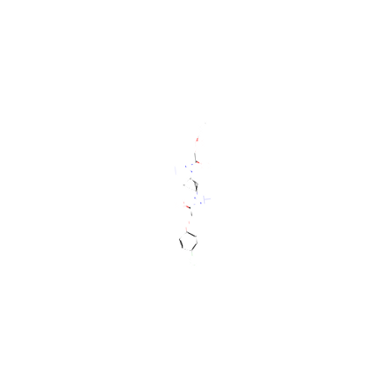 CCCOCC(=O)NC12CC(NC(=O)COc3ccc(Cl)cc3)(C1)C2